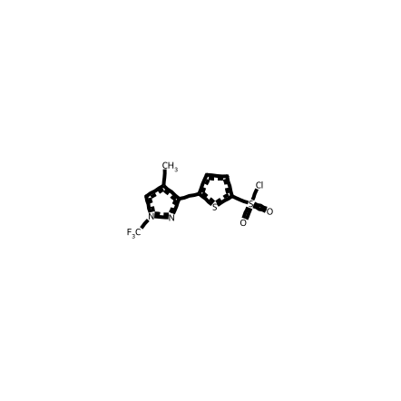 Cc1cn(C(F)(F)F)nc1-c1ccc(S(=O)(=O)Cl)s1